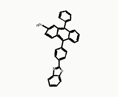 CCCc1ccc2c(-c3ccc(-c4nc5ccccc5o4)cc3)c3ccccc3c(-c3ccccc3)c2c1